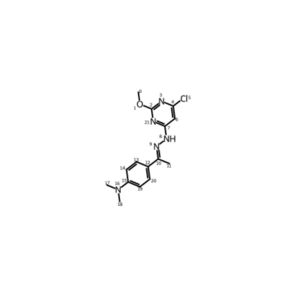 COc1nc(Cl)cc(N/N=C(\C)c2ccc(N(C)C)cc2)n1